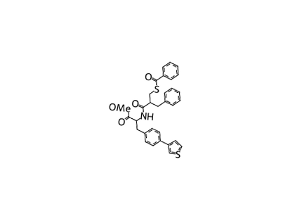 COC(=O)C(Cc1ccc(-c2ccsc2)cc1)NC(=O)C(CSC(=O)c1ccccc1)Cc1ccccc1